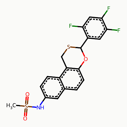 CS(=O)(=O)Nc1ccc2c3c(ccc2c1)OC(c1cc(F)c(F)cc1F)SC3